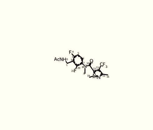 CC(=O)NCc1c(F)ccc(N(C)C(=O)c2c(C(F)(F)F)c(C)nn2C)c1F